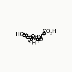 C=C(C)[C@@H]1CC[C@]2(C(=O)NCc3ccc(F)c(C(=O)NCCc4cccc(C(=O)O)c4)c3)CC[C@]3(C)C(CCC4[C@@]5(C)CC[C@H](O)C(C)(C)C5CC[C@]43C)C12